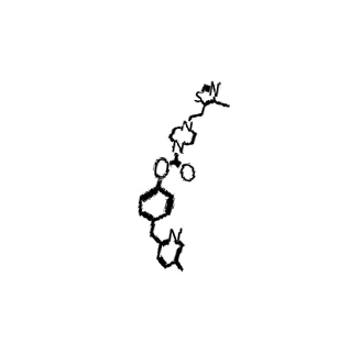 Cc1ccc(Cc2ccc(OC(=O)N3CCN(CCc4scnc4C)CC3)cc2)nc1